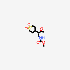 COC(=O)NC[C@H](C(C)=O)C1CCS(=O)(=O)CC1